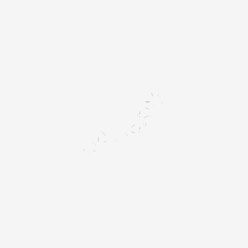 CN(C)C(=O)c1cc2cnc(Nc3ccc(N4CCN(Cc5cncc(N6CCC(=O)NC6=O)c5)CC4)cn3)nc2n1C1CCCC1